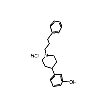 Cl.Oc1cccc(C2CCN(CCCc3ccccc3)CC2)c1